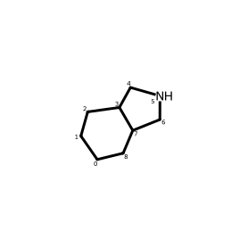 C1CCC2CNCC2C1